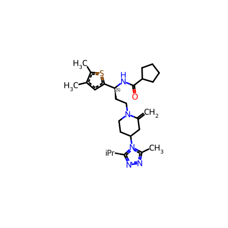 C=C1CC(n2c(C)nnc2C(C)C)CCN1CC[C@H](NC(=O)C1CCCC1)c1cc(C)c(C)s1